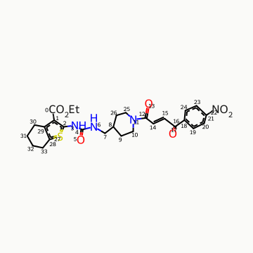 CCOC(=O)c1c(NC(=O)NCC2CCN(C(=O)C=CC(=O)c3ccc([N+](=O)[O-])cc3)CC2)sc2c1CCCC2